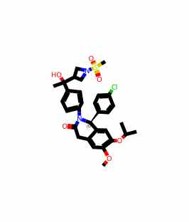 COc1cc2c(cc1OC(C)C)[C@H](c1ccc(Cl)cc1)N(c1ccc(C(C)(O)C3CN(S(C)(=O)=O)C3)cc1)C(=O)C2